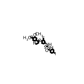 COc1cc2nccc(Oc3ccc(NC(=S)NC(=O)c4ccc(I)cc4)cc3F)c2cc1OC